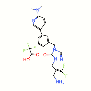 CN(C)c1ccc(-c2cccc(Cn3cnn(CC(CN)=C(F)F)c3=O)c2)cn1.O=C(O)C(F)(F)F